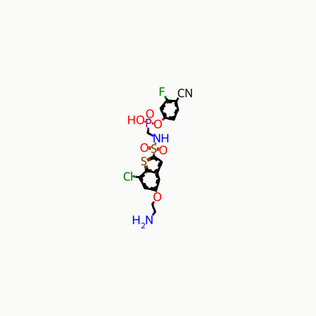 N#Cc1ccc(OP(=O)(O)CNS(=O)(=O)c2cc3cc(OCCN)cc(Cl)c3s2)cc1F